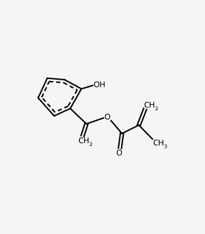 C=C(C)C(=O)OC(=C)c1ccccc1O